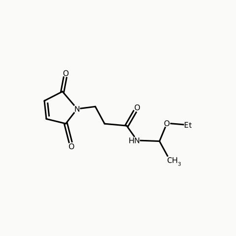 CCOC(C)NC(=O)CCN1C(=O)C=CC1=O